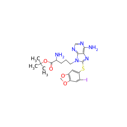 CC(C)(C)OC(=O)C(N)CCCn1c(Sc2cc3c(cc2I)OCO3)nc2c(N)ncnc21